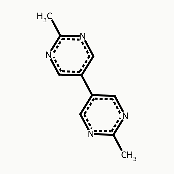 Cc1ncc(-c2cnc(C)nc2)cn1